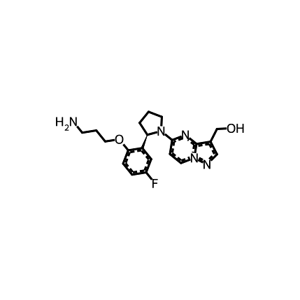 NCCCOc1ccc(F)cc1[C@H]1CCCN1c1ccn2ncc(CO)c2n1